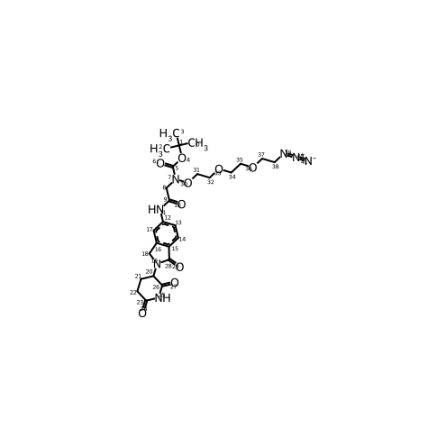 CC(C)(C)OC(=O)N(CC(=O)Nc1ccc2c(c1)CN(C1CCC(=O)NC1=O)C2=O)OCCOCCOCCN=[N+]=[N-]